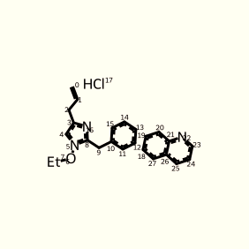 C=CCc1cn(OCC)c(Cc2ccccc2)n1.Cl.c1ccc2ncccc2c1